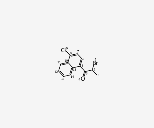 CC(Br)C(=O)c1ccc(Cl)c2ccccc12